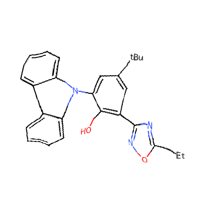 CCc1nc(-c2cc(C(C)(C)C)cc(-n3c4ccccc4c4ccccc43)c2O)no1